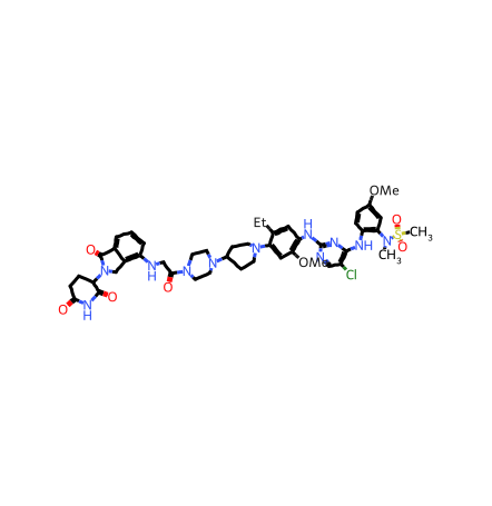 CCc1cc(Nc2ncc(Cl)c(Nc3ccc(OC)cc3N(C)S(C)(=O)=O)n2)c(OC)cc1N1CCC(N2CCN(C(=O)CNc3cccc4c3CN(C3CCC(=O)NC3=O)C4=O)CC2)CC1